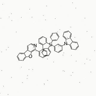 c1ccc([Si](c2ccccc2)(c2cccc(-n3c4ccccc4c4ccccc43)c2)c2ccccc2-c2ccccc2-c2nccc3c2oc2ccccc23)cc1